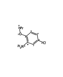 CCCOc1ccc(Cl)cc1N